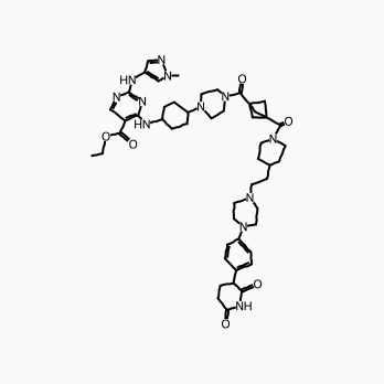 CCOC(=O)c1cnc(Nc2cnn(C)c2)nc1NC1CCC(N2CCN(C(=O)C34CC(C(=O)N5CCC(CCN6CCN(c7ccc(C8CCC(=O)NC8=O)cc7)CC6)CC5)(C3)C4)CC2)CC1